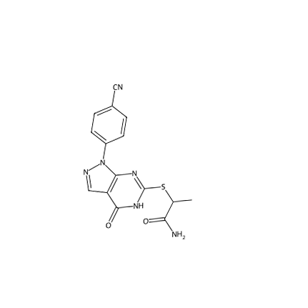 CC(Sc1nc2c(cnn2-c2ccc(C#N)cc2)c(=O)[nH]1)C(N)=O